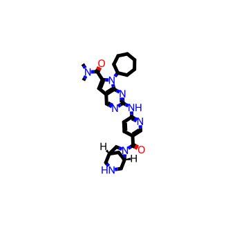 CN(C)C(=O)c1cc2cnc(Nc3ccc(C(=O)N4C[C@H]5CNC[C@@H]4C5)cn3)nc2n1C1CCCCCC1